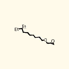 CCC(CC)CCCCCCCOCC1CO1